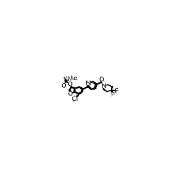 CNC(=O)Oc1coc2c(Cl)cc(-c3ccc(C(=O)N4CCC(F)(F)CC4)cn3)cc12